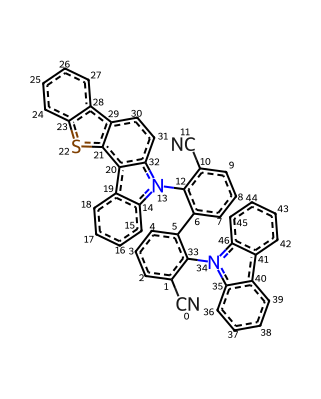 N#Cc1cccc(-c2cccc(C#N)c2-n2c3ccccc3c3c4sc5ccccc5c4ccc32)c1-n1c2ccccc2c2ccccc21